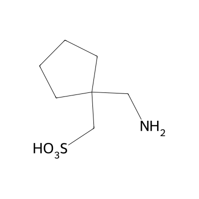 NCC1(CS(=O)(=O)O)CCCC1